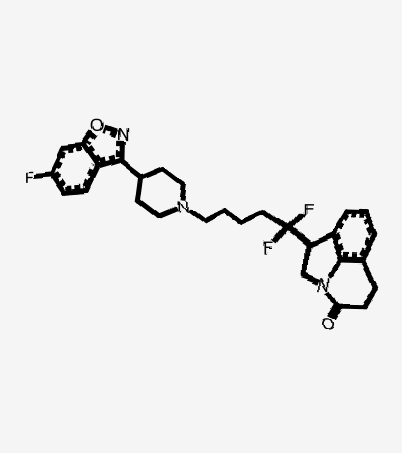 O=C1CCc2cccc3c2N1CC3C(F)(F)CCCCN1CCC(c2noc3cc(F)ccc23)CC1